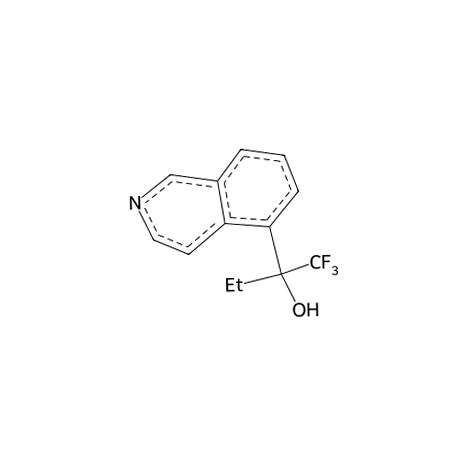 CCC(O)(c1cccc2cnccc12)C(F)(F)F